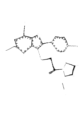 O=C(CCc1c(-c2ccc(F)cc2)[nH]c2c(F)cc(F)cc12)N1CCC[C@@H]1CO